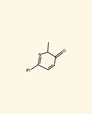 CC(C)C1=NC(C)C(=O)C=C1